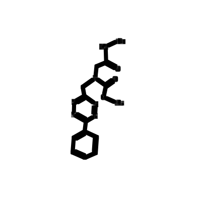 CC(C)(C)NC(=O)CN(Cc1nnc(-c2ccccc2)nn1)C(=O)OC(C)(C)C